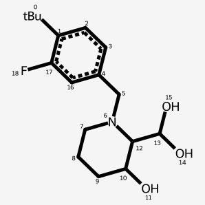 CC(C)(C)c1ccc(CN2CCCC(O)C2C(O)O)cc1F